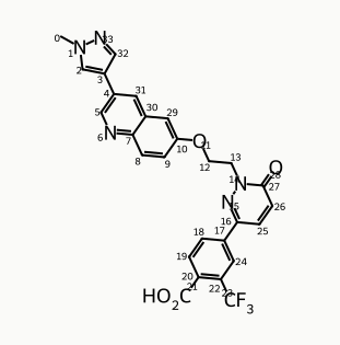 Cn1cc(-c2cnc3ccc(OCCn4nc(-c5ccc(C(=O)O)c(C(F)(F)F)c5)ccc4=O)cc3c2)cn1